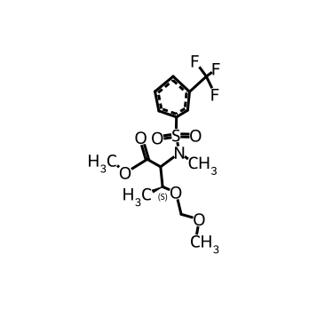 COCO[C@@H](C)C(C(=O)OC)N(C)S(=O)(=O)c1cccc(C(F)(F)F)c1